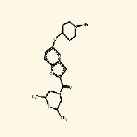 CC1CN(C(=O)c2cc3cc(OC4CCN(C(C)C)CC4)ccc3o2)CC(C)O1